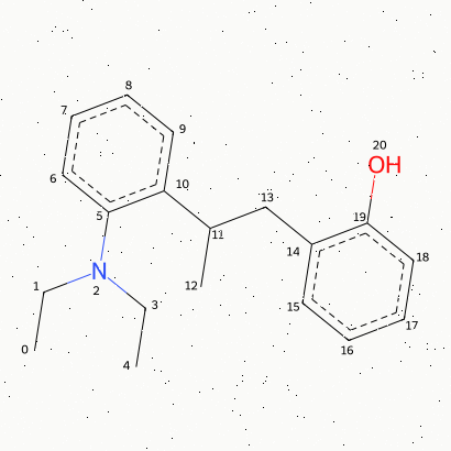 CCN(CC)c1ccccc1C(C)Cc1ccccc1O